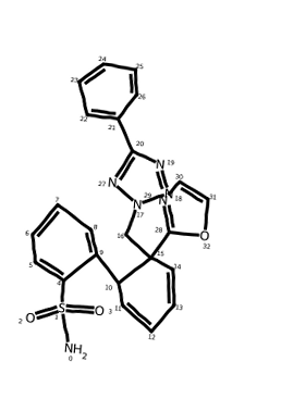 NS(=O)(=O)c1ccccc1C1C=CC=CC1(Cn1nnc(-c2ccccc2)n1)c1ncco1